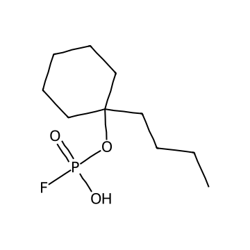 CCCCC1(OP(=O)(O)F)CCCCC1